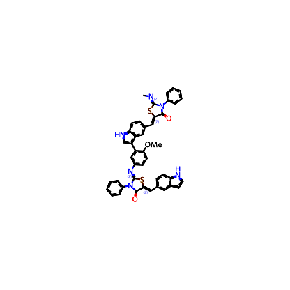 C/N=C1\S/C(=C\c2ccc3[nH]cc(-c4cc(/N=C5\S/C(=C\c6ccc7[nH]ccc7c6)C(=O)N5c5ccccc5)ccc4OC)c3c2)C(=O)N1c1ccccc1